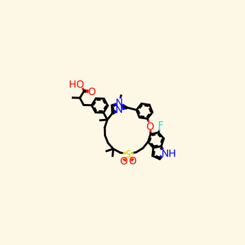 CC(Cc1cccc(C2(C)CCCC(C)(C)CS(=O)(=O)CCc3c(c(F)cc4[nH]ccc34)Oc3cccc(c3)-c3nc2cn3C)c1)C(=O)O